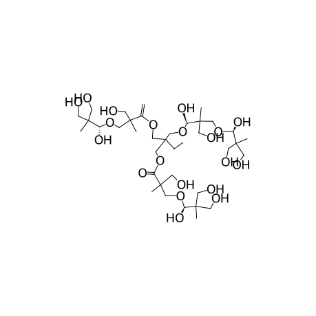 C=C(OCC(CC)(COC(=O)C(C)(CO)CO[C@H](O)C(C)(CO)CO)CO[C@@H](O)C(C)(CO)CO[C@@H](O)C(C)(CO)CO)C(C)(CO)CO[C@H](O)C(C)(CO)CO